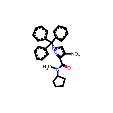 CN(C(=O)c1nn(C(c2ccccc2)(c2ccccc2)c2ccccc2)cc1[N+](=O)[O-])C1CCCC1